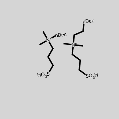 CCCCCCCCCCCC[N+](C)(C)CCCS(=O)(=O)O.CCCCCCCCCC[N+](C)(C)CCCS(=O)(=O)O